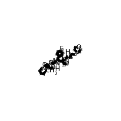 CC1(C(=O)N2CCCCC2)COC(c2nc(-c3ccc(F)cc3)c(-c3ccnc(NCCCN4CCOCC4)n3)[nH]2)OC1